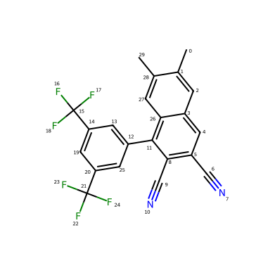 Cc1cc2cc(C#N)c(C#N)c(-c3cc(C(F)(F)F)cc(C(F)(F)F)c3)c2cc1C